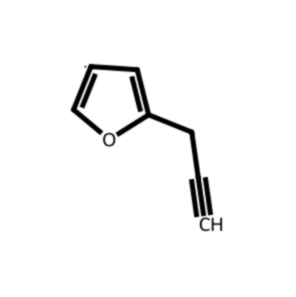 C#CCc1c[c]co1